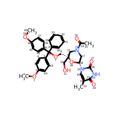 COc1ccc(C(OC[C@]2(CO)CN(C(C)=O)C[C@H](n3cc(C)c(=O)[nH]c3=O)O2)(c2ccccc2)c2ccc(OC)cc2)cc1